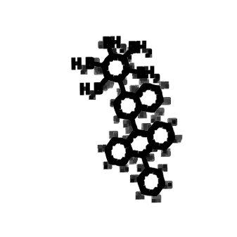 Bc1c(B)c(B)c(-c2ccc(-c3c4ccccc4c(-c4ccccc4)c4ccccc34)c3ccccc23)c(B)c1B